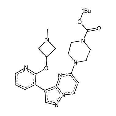 CN1CC(Oc2ncccc2-c2cnn3ccc(N4CCN(C(=O)OC(C)(C)C)CC4)nc23)C1